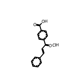 Cl.O=C(O)c1ccc(C(=O)C=Cc2ccccc2)cc1